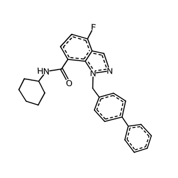 O=C(NC1CCCCC1)c1ccc(F)c2cnn(Cc3ccc(-c4ccccc4)cc3)c12